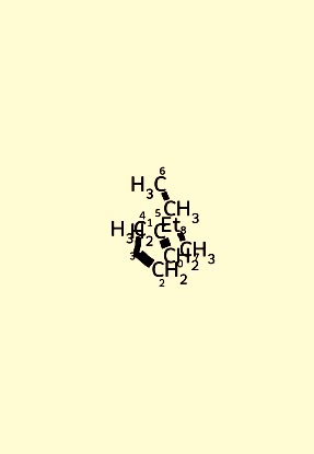 C=C.C=CC.CC.CCC